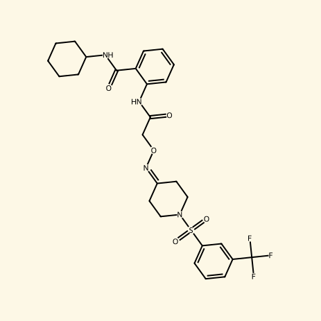 O=C(CON=C1CCN(S(=O)(=O)c2cccc(C(F)(F)F)c2)CC1)Nc1ccccc1C(=O)NC1CCCCC1